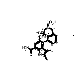 Cc1[nH]c2c(C(N)=O)cc(F)c(-c3cccc4c3C(F)(F)CN(C(=O)O)C4)c2c1C